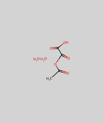 CC(=O)OC(=O)C(=O)O.O.O